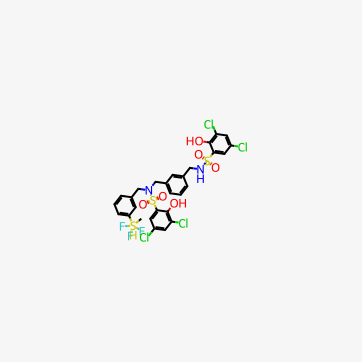 C[SH](F)(F)(F)c1cccc(CN(Cc2cccc(CNS(=O)(=O)c3cc(Cl)cc(Cl)c3O)c2)S(=O)(=O)c2cc(Cl)cc(Cl)c2O)c1